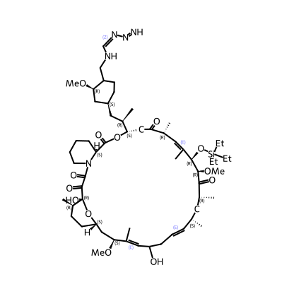 CC[Si](CC)(CC)O[C@@H]1/C(C)=C/[C@@H](C)C(=O)C[C@@H]([C@H](C)C[C@@H]2CCC(CN/C=N\N=N)[C@H](OC)C2)OC(=O)[C@@H]2CCCCN2C(=O)C(=O)[C@]2(O)O[C@@H](CC[C@H]2C)C[C@H](OC)/C(C)=C/C(O)C/C=C/[C@@H](C)C[C@@H](C)C(=O)[C@@H]1OC